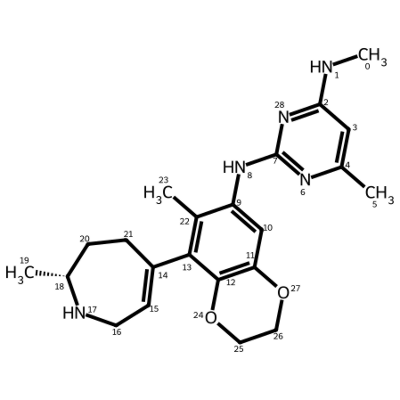 CNc1cc(C)nc(Nc2cc3c(c(C4=CCN[C@H](C)CC4)c2C)OCCO3)n1